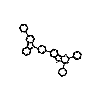 c1ccc(-c2ccc3c(c2)c2ccccc2n3-c2ccc(-c3ccc4c(c3)oc3c(-c5ccccc5)nc(-c5ccccc5)nc34)cc2)cc1